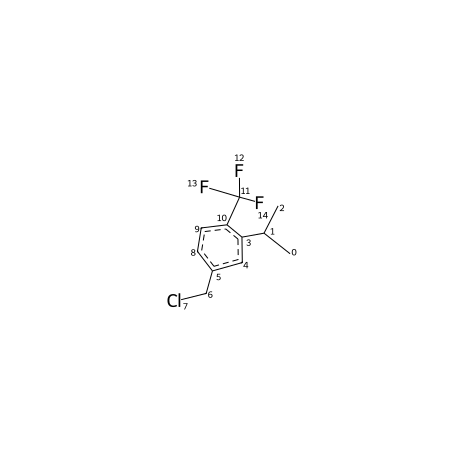 CC(C)c1cc(CCl)ccc1C(F)(F)F